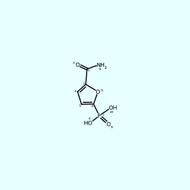 NC(=O)c1c[c]c(P(=O)(O)O)o1